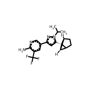 CC(C)n1nc(-c2cnc(N)c(C(F)(F)F)c2)cc1[C@@]12C3CC[C@@H]1[C@H]32